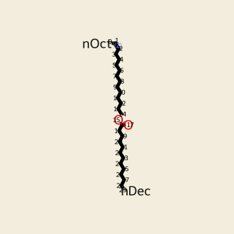 CCCCCCCC/C=C\CCCCCCCCCCCCOC(=O)CCCCCCCCCCCCCCCCCCCCC